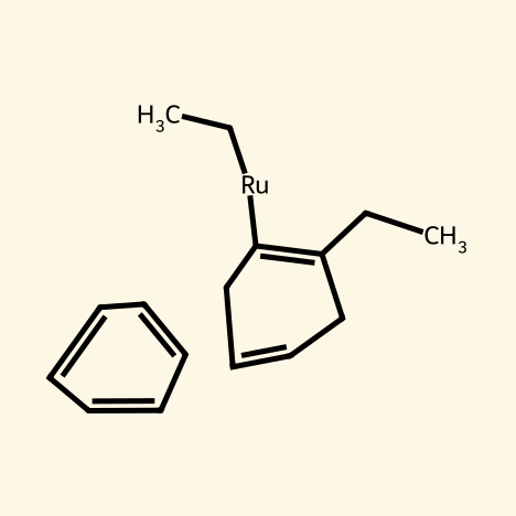 C[CH2][Ru][C]1=C(CC)CC=CC1.c1ccccc1